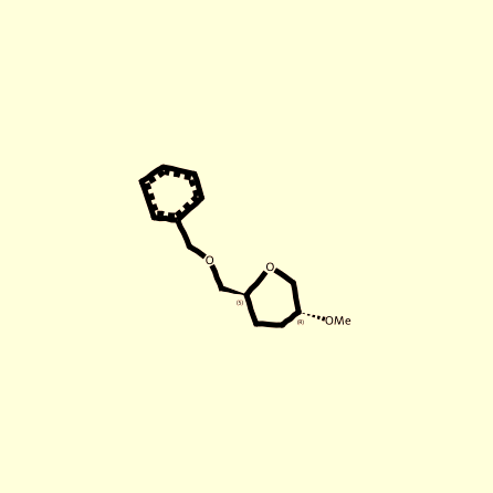 CO[C@@H]1CC[C@@H](COCc2ccccc2)OC1